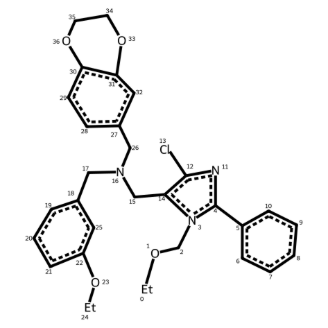 CCOCn1c(-c2ccccc2)nc(Cl)c1CN(Cc1cccc(OCC)c1)Cc1ccc2c(c1)OCCO2